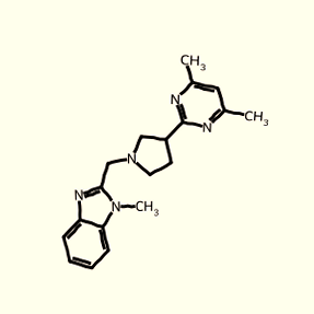 Cc1cc(C)nc(C2CCN(Cc3nc4ccccc4n3C)C2)n1